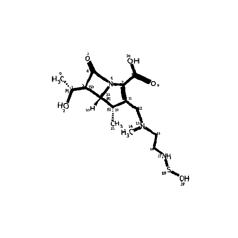 C[C@@H](O)[C@H]1C(=O)N2C(C(=O)O)=C(CN(C)CCNSO)[C@H](C)[C@H]12